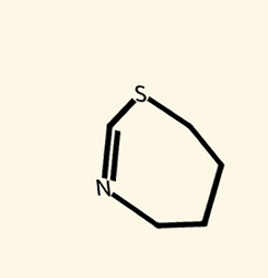 C1=NCCCCS1